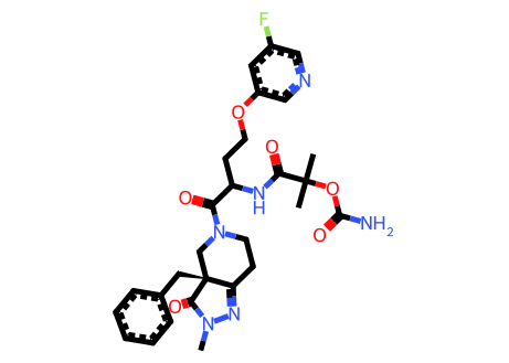 CN1N=C2CCN(C(=O)C(CCOc3cncc(F)c3)NC(=O)C(C)(C)OC(N)=O)C[C@@]2(Cc2ccccc2)C1=O